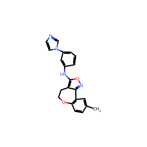 Cc1ccc2c(c1)-c1noc(Nc3cccc(-n4ccnc4)c3)c1CCO2